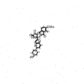 COc1ccc2c(c1F)C(=O)N(C[C@@]1(c3cc4nc(N5CCN(C(C)C)CC5)ccc4o3)NC(=O)NC1=O)C2